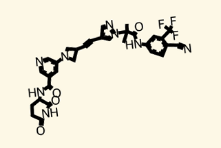 CC(C)(C(=O)Nc1ccc(C#N)c(C(F)(F)F)c1)n1cc(C#CC2CN(c3cncc(C(=O)NC4CCC(=O)NC4=O)c3)C2)cn1